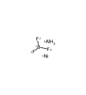 FB(F)F.[AlH3].[Ni]